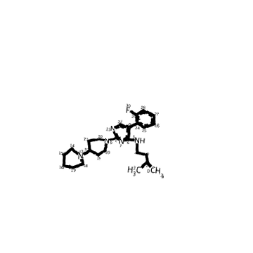 CC(C)CCNc1nc(N2CCC(N3CCCCC3)CC2)ncc1-c1ccccc1F